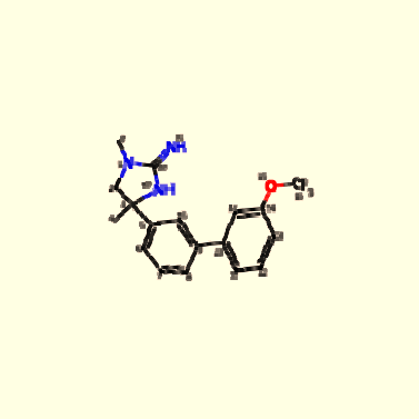 CN1CC(C)(c2cccc(-c3cccc(OC(F)(F)F)c3)c2)NC1=N